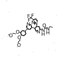 CCNC(=O)Nc1cc(-n2ccc(C(F)(F)F)n2)c(-c2cncc(-c3ccc(OCCOC)c(OCCOC)c3)c2)cn1